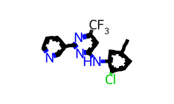 Cc1ccc(Cl)c(Nc2cc(C(F)(F)F)nc(-c3cccnc3)n2)c1